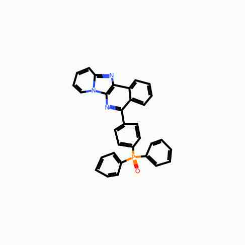 O=P(c1ccccc1)(c1ccccc1)c1ccc(-c2nc3c(nc4ccccn43)c3ccccc23)cc1